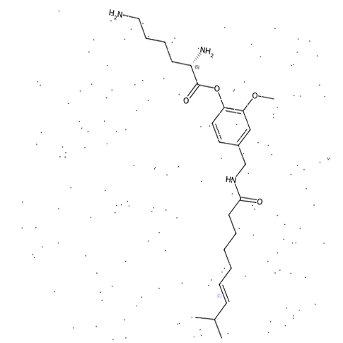 COc1cc(CNC(=O)CCCC/C=C/C(C)C)ccc1OC(=O)[C@@H](N)CCCCN